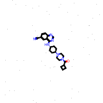 N#Cc1ccc2ncnc(N[C@H]3CC[C@H](N4CCN(C(=O)C5CCC5)CC4)CC3)c2c1